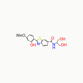 COc1ccc(-c2nc3ccc(C(=O)NC(CO)CO)cc3s2)c(O)c1